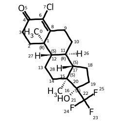 C[C@]12CCC(=O)C(Cl)=C1CC[C@@H]1[C@@H]2CC[C@@]2(C)[C@H]1CC[C@@]2(O)C(F)(F)F